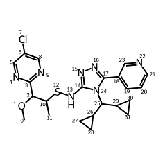 COC(c1ncc(Cl)cn1)C(C)SNc1nnc(-c2cccnc2)n1C(C1CC1)C1CC1